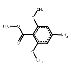 COC(=O)c1c(OC)cc(N)cc1OC